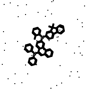 Cc1ccccc1N(c1ccc2c(c1)C(C)(C)c1c#cccc1-2)c1ccc2c(N(c3ccccc3)c3ccccc3)cc3ccccc3c2c1